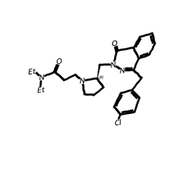 CCN(CC)C(=O)CCN1CCC[C@@H]1Cn1nc(Cc2ccc(Cl)cc2)c2ccccc2c1=O